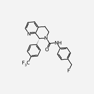 O=C(Nc1ccc(CF)cc1)N1CCc2cccnc2[C@H]1c1ccc(C(F)(F)F)cc1